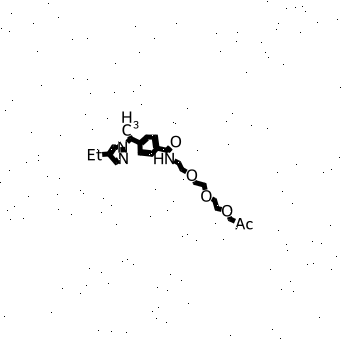 CCc1cnn(C(C)c2ccc(C(=O)NCCOCCOCCOCC(C)=O)cc2)c1